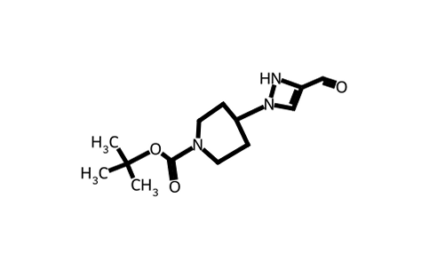 CC(C)(C)OC(=O)N1CCC(n2cc(C=O)[nH]2)CC1